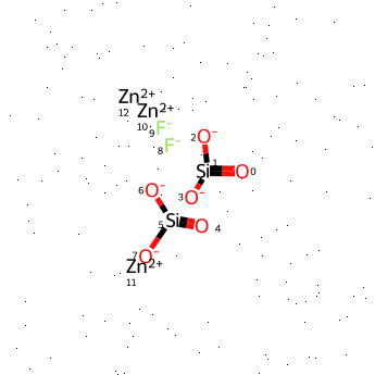 O=[Si]([O-])[O-].O=[Si]([O-])[O-].[F-].[F-].[Zn+2].[Zn+2].[Zn+2]